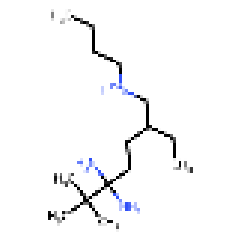 CCCC[15NH]CC(CC)CCC(N)(N)C(C)(C)C